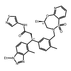 CC[C@@H]1CN(Cc2cc([C@H](CC(=O)Nc3cnsc3)c3ccc4c(nnn4CC)c3C)ccc2C)S(=O)(=O)c2cccnc2O1